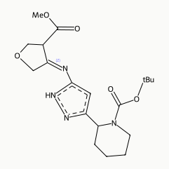 COC(=O)C1COC/C1=N\c1cc(C2CCCCN2C(=O)OC(C)(C)C)n[nH]1